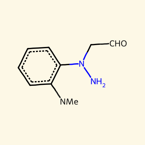 CNc1ccccc1N(N)CC=O